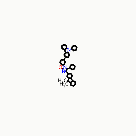 CC1(C)c2ccccc2-c2ccc(-c3nc4oc5ccc(-c6ccc7c(c6)c6ccccc6n7-c6ccccc6)cc5n4c3-c3ccccc3)cc21